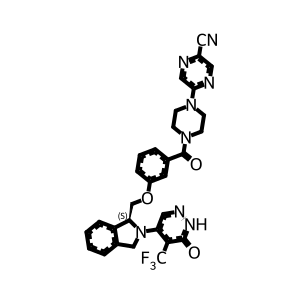 N#Cc1cnc(N2CCN(C(=O)c3cccc(OC[C@@H]4c5ccccc5CN4c4cn[nH]c(=O)c4C(F)(F)F)c3)CC2)cn1